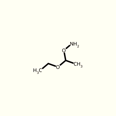 CCOC(C)ON